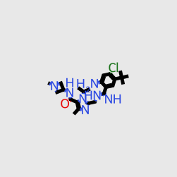 Cc1nc(CNC(=N)c2cc(C(C)(C)C)c(Cl)cc2N)n(C(C)C)c1C(=O)NC1CN(C)C1